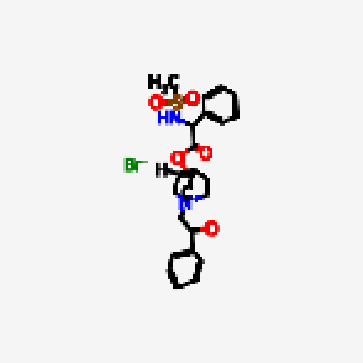 CS(=O)(=O)NC(C(=O)O[C@H]1C[N+]2(CC(=O)c3ccccc3)CCC1CC2)c1ccccc1.[Br-]